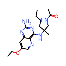 CCCCC(C)(CNC(C)=O)Nc1nc(N)nc2cc(OCC)cnc12